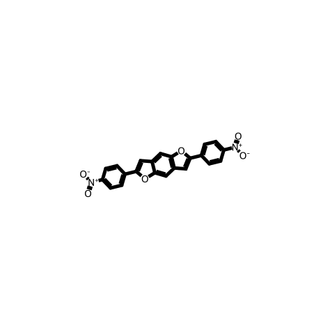 O=[N+]([O-])c1ccc(-c2cc3cc4oc(-c5ccc([N+](=O)[O-])cc5)cc4cc3o2)cc1